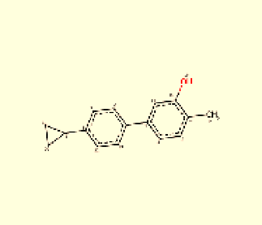 Cc1ccc(-c2ccc(C3CC3)cc2)cc1O